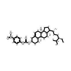 CC[C@H](CC[C@@H](C)C1CCC2[C@@H]3CC=C4C[C@@H](OC(=O)Oc5ccc([N+](=O)[O-])cc5)CC[C@]4(C)C3CC[C@@]21C)C(C)C